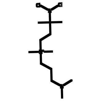 CN(C)CCC[N+](C)(C)CCC(C)(C)N(Cl)Cl